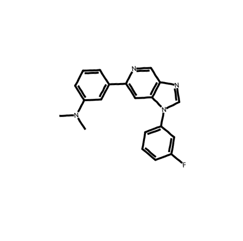 CN(C)c1cccc(-c2cc3c(cn2)ncn3-c2cccc(F)c2)c1